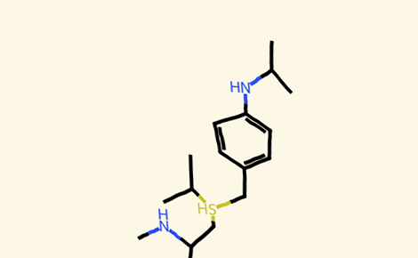 CNC(C)C[SH](Cc1ccc(NC(C)C)cc1)C(C)C